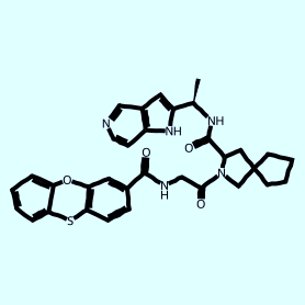 C[C@@H](NC(=O)C1CC2(CCCC2)CN1C(=O)CNC(=O)c1ccc2c(c1)Oc1ccccc1S2)c1cc2cnccc2[nH]1